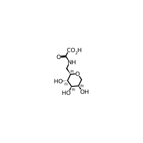 O=C(O)C(=O)NC[C@H]1OC[C@@H](O)[C@@H](O)[C@@H]1O